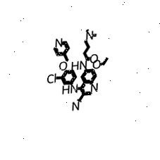 CCOc1cc2ncc(C#N)c(Nc3ccc(OCc4ccncc4)c(Cl)c3)c2cc1NC(=O)CCCN(C)C